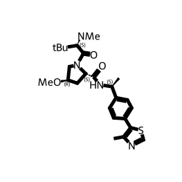 CN[C@H](C(=O)N1C[C@H](OC)C[C@H]1C(=O)N[C@@H](C)c1ccc(-c2scnc2C)cc1)C(C)(C)C